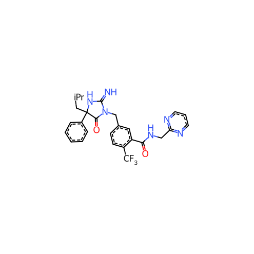 CC(C)CC1(c2ccccc2)NC(=N)N(Cc2ccc(C(F)(F)F)c(C(=O)NCc3ncccn3)c2)C1=O